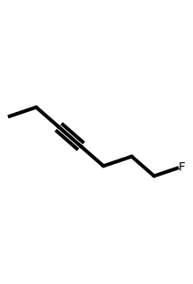 CCC#CCCCF